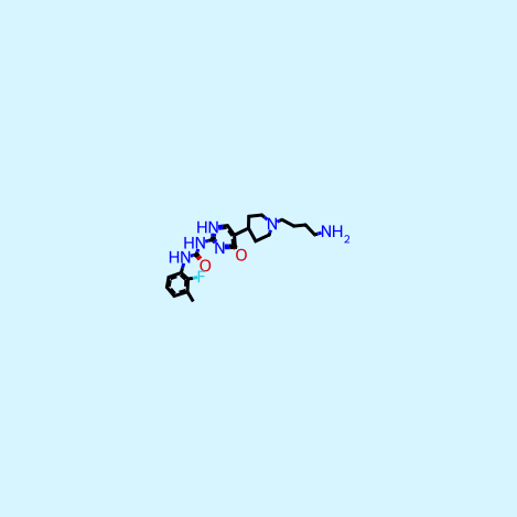 Cc1cccc(NC(=O)Nc2nc(=O)c(C3CCN(CCCCN)CC3)c[nH]2)c1F